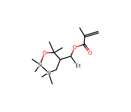 C=C(C)C(=O)OC(CC)C1C[Si](C)(C)[Si](C)(C)OC1(C)C